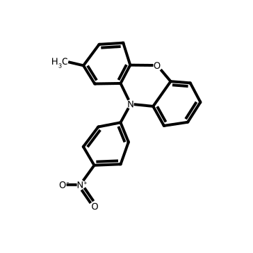 Cc1ccc2c(c1)N(c1ccc([N+](=O)[O-])cc1)c1ccccc1O2